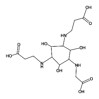 O=C(O)CCNC1C(O)C(NCCC(=O)O)C(O)C(NCC(=O)O)C1O